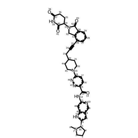 CN1CCC[C@@H]1c1cc2cnc(NC(=O)c3ccc(N4CCC(CC#Cc5cccc6c5CN(C5CCC(=O)NC5=O)C6=O)CC4)nn3)cc2[nH]1